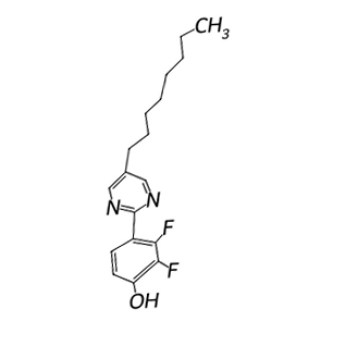 CCCCCCCCc1cnc(-c2ccc(O)c(F)c2F)nc1